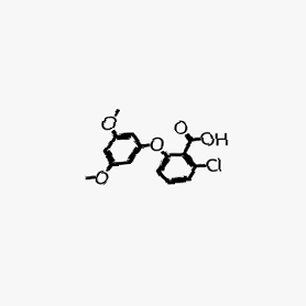 COc1cc(OC)cc(Oc2cccc(Cl)c2C(=O)O)c1